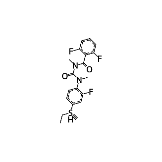 C#[SH](CC)c1ccc(N(C)C(=O)N(C)C(=O)c2c(F)cccc2F)c(F)c1